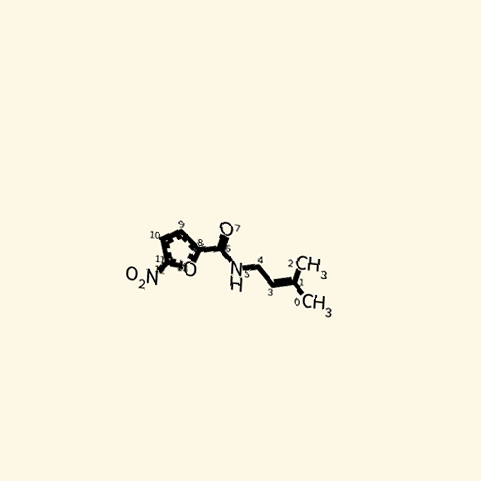 CC(C)=CCNC(=O)c1ccc([N+](=O)[O-])o1